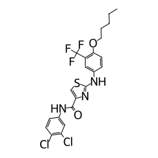 CCCCCOc1ccc(Nc2nc(C(=O)Nc3ccc(Cl)c(Cl)c3)cs2)cc1C(F)(F)F